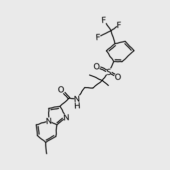 Cc1ccn2cc(C(=O)NCCC(C)(C)S(=O)(=O)c3cccc(C(F)(F)F)c3)nc2c1